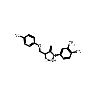 C=C1C(COc2ccc(C#N)cc2)ONN1c1ccc(C#N)c(C(F)(F)F)c1